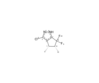 C[C@@H]1c2c(Cl)n[nH]c2C(F)(F)[C@@H]1C